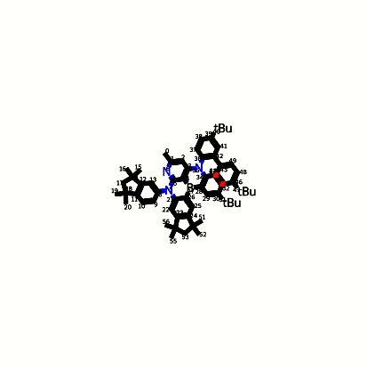 Cc1cc2c3c(n1)N(c1ccc4c(c1)C(C)(C)CC4(C)C)c1cc4c(cc1B3c1cc(C(C)(C)C)ccc1N2c1ccc(C(C)(C)C)cc1-c1ccc(C(C)(C)C)cc1)C(C)(C)CC4(C)C